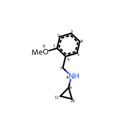 COc1ccccc1CNC1CC1